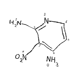 N.Nc1ncccc1[N+](=O)[O-]